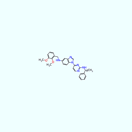 COc1cccc(CNc2ccc3c(c2)ncn3-c2ccnc(N[C@@H](C)c3ccccc3)n2)c1OC